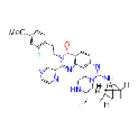 COc1ccc(CCn2c(-c3cnccn3)nc3cc(N=C(N[C@H]4C[C@@H]5C[C@@H]([C@H]4C)C5(C)C)N4CCN[C@@H](CF)C4)ccc3c2=O)c(F)c1